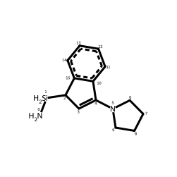 N[SiH2]C1C=C(N2CCCC2)c2ccccc21